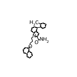 Cc1ccccc1-c1cccc2c1cc(C(N)=O)n2CCCOc1cccc2ccccc12